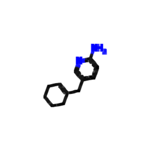 Nc1ccc(CC2=CCCCC2)cn1